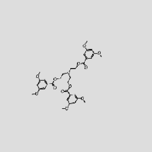 COc1cc(OC)cc(C(=O)OCCN(CCOC(=O)c2cc(OC)cc(OC)c2)CCOC(=O)c2cc(OC)cc(OC)c2)c1